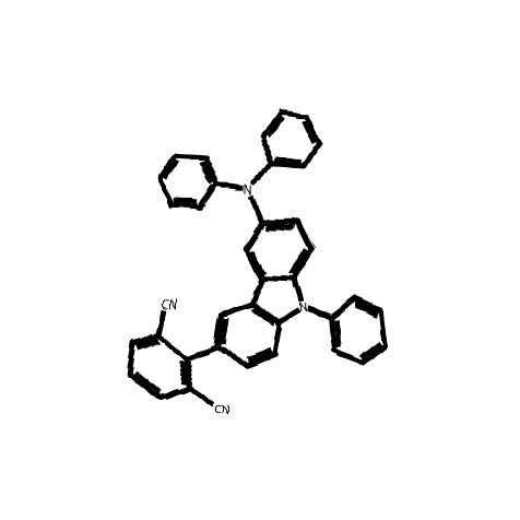 N#Cc1cccc(C#N)c1-c1ccc2c(c1)c1cc(N(c3ccccc3)c3ccccc3)ccc1n2-c1ccccc1